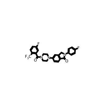 O=C(c1cc(F)ccc1C(F)(F)F)N1CCN(c2ccc3c(c2)CN(c2ccc(F)cc2)C3=O)CC1